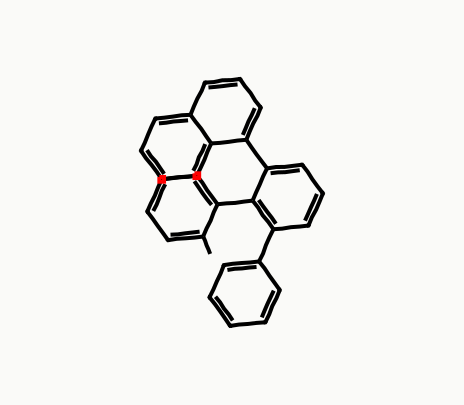 Cc1ccccc1-c1c(-c2ccccc2)cccc1-c1cccc2ccccc12